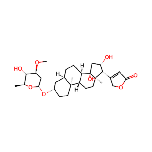 CO[C@H]1C[C@H](O[C@H]2CC[C@@]3(C)[C@H](CC[C@@H]4[C@@H]3CC[C@]3(C)[C@@H](C5=CC(=O)OC5)[C@@H](O)C[C@]43O)C2)O[C@@H](C)[C@@H]1O